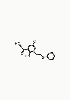 C#CC(=O)c1cc(Cl)cn(CCSc2ccccc2)c1=N